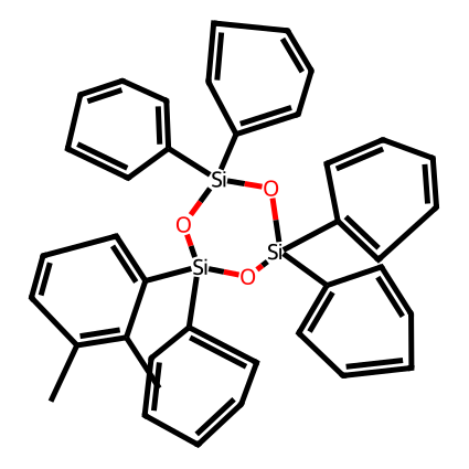 Cc1cccc([Si]2(c3ccccc3)O[Si](c3ccccc3)(c3ccccc3)O[Si](c3ccccc3)(c3ccccc3)O2)c1C